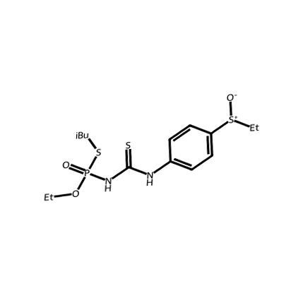 CCOP(=O)(NC(=S)Nc1ccc([S+]([O-])CC)cc1)SC(C)CC